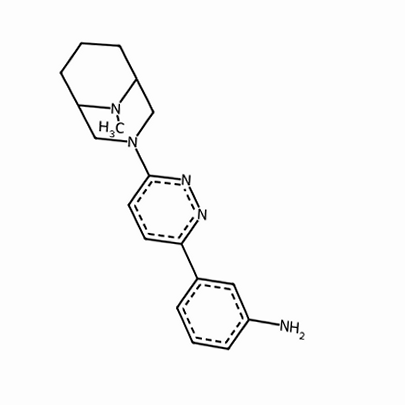 CN1C2CCCC1CN(c1ccc(-c3cccc(N)c3)nn1)C2